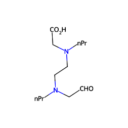 CCCN(CC=O)CCN(CCC)CC(=O)O